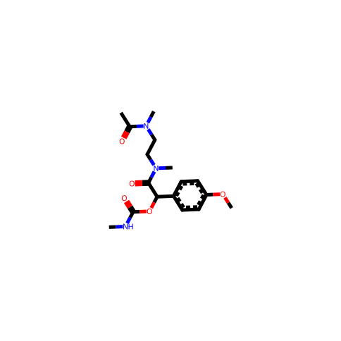 CNC(=O)OC(C(=O)N(C)CCN(C)C(C)=O)c1ccc(OC)cc1